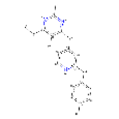 CCc1nc(C)nc(Cc2ccnc(Cc3ccc(C)cc3)c2)c1C